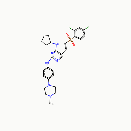 CN1CCN(c2ccc(Nc3ncc(/C=C/S(=O)(=O)c4ccc(F)cc4F)c(NC4CCCC4)n3)cc2)CC1